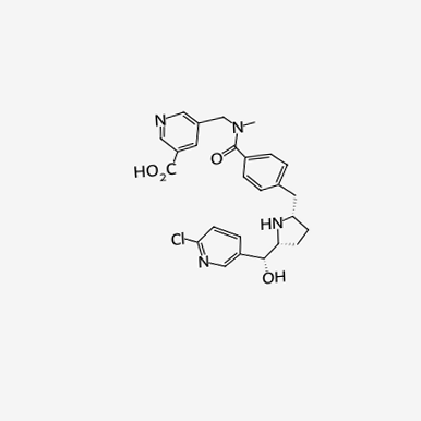 CN(Cc1cncc(C(=O)O)c1)C(=O)c1ccc(C[C@@H]2CC[C@H]([C@H](O)c3ccc(Cl)nc3)N2)cc1